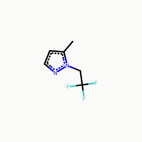 Cc1ccnn1CC(F)(F)F